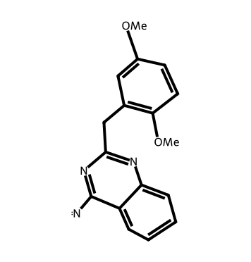 COc1ccc(OC)c(Cc2nc([N])c3ccccc3n2)c1